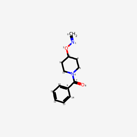 C=NOC1CCN(C(=O)c2ccccc2)CC1